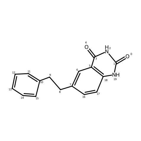 O=c1[nH]c(=O)c2cc(CCc3ccccc3)ccc2[nH]1